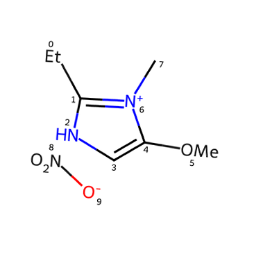 CCc1[nH]cc(OC)[n+]1C.O=[N+]([O-])[O-]